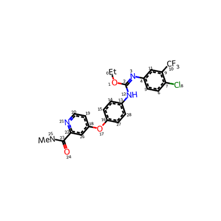 CCO/C(=N/c1ccc(Cl)c(C(F)(F)F)c1)Nc1ccc(Oc2ccnc(C(=O)NC)c2)cc1